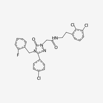 O=C(Cn1nc(-c2ccc(Cl)cc2)n(Cc2ccccc2F)c1=O)NCCc1cccc(Cl)c1Cl